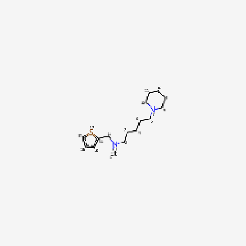 CCN(CCCCCN1CC[CH]CC1)Cc1cccs1